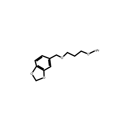 CCCOCCCOCc1ccc2c(c1)OCO2